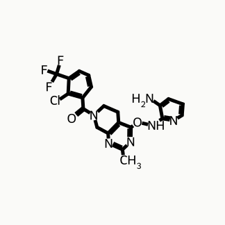 Cc1nc2c(c(ONc3ncccc3N)n1)CCN(C(=O)c1cccc(C(F)(F)F)c1Cl)C2